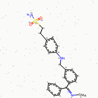 CO/N=C(/c1ccccc1)c1cccc(CNc2ccc(CCS(N)(=O)=O)cc2)c1